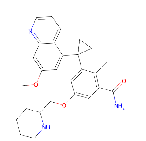 COc1cc(C2(c3cc(OCC4CCCCN4)cc(C(N)=O)c3C)CC2)c2cccnc2c1